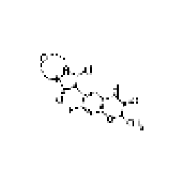 CC1Oc2cc(F)c(-c3c(Cl)n4n(c3=O)CCOCC4)cc2NC1=O